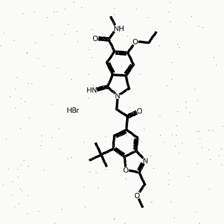 Br.CCOc1cc2c(cc1C(=O)NC)C(=N)N(CC(=O)c1cc(C(C)(C)C)c3oc(COC)nc3c1)C2